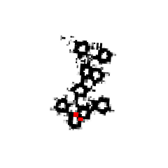 Cc1cc(C)c(B(c2ccccc2)c2ccc3c4c(cccc24)Oc2cc(N(c4ccccc4-c4ccccc4)c4cccc5c4sc4ccccc45)ccc2-3)c(C)c1